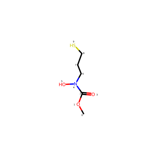 COC(=O)N(O)CCCS